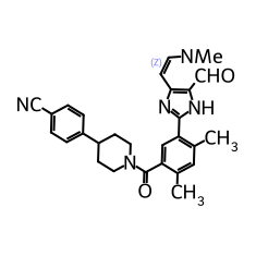 CN/C=C\c1nc(-c2cc(C(=O)N3CCC(c4ccc(C#N)cc4)CC3)c(C)cc2C)[nH]c1C=O